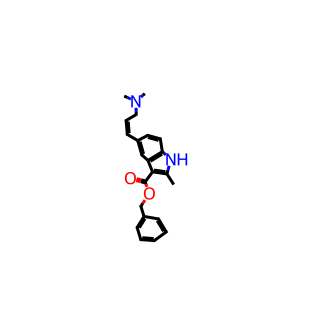 Cc1[nH]c2ccc(/C=C\CN(C)C)cc2c1C(=O)OCc1ccccc1